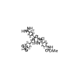 COC(=O)Nc1ccc(-c2[nH]c([C@@H]3C[C@H](C4CCN(S(C)(=O)=O)CC4)CN3C(=O)c3ccc(C(=N)N)cc3)nc2Cl)cc1